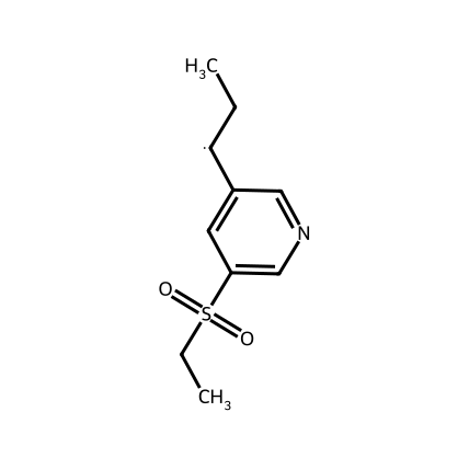 CC[CH]c1cncc(S(=O)(=O)CC)c1